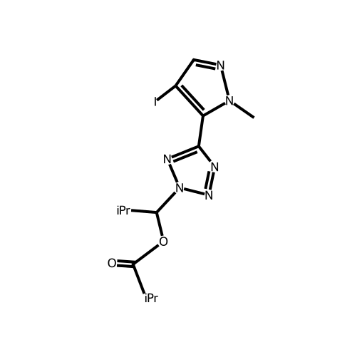 CC(C)C(=O)OC(C(C)C)n1nnc(-c2c(I)cnn2C)n1